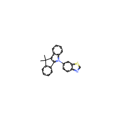 CC1(C)c2ccccc2-c2c1c1ccccc1n2-c1ccc2ncsc2c1